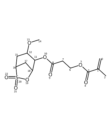 C=C(C)C(=O)OCCC(=O)OC1C(OC)CC2CC1OS2(=O)=O